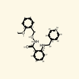 COc1ccccc1CONC(=O)c1ccccc1NCc1ccncc1